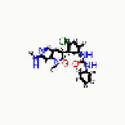 CCn1c(=O)c(-c2cc(NC(=O)Nc3ccccc3)c(C)cc2Cl)cc2cnc(NC)cc21